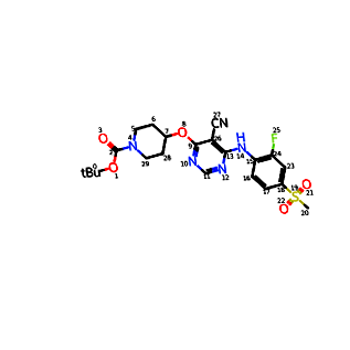 CC(C)(C)OC(=O)N1CCC(Oc2ncnc(Nc3ccc(S(C)(=O)=O)cc3F)c2C#N)CC1